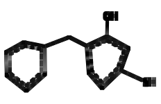 Oc1cc(S)ccc1Cc1ccccc1